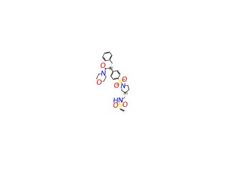 C=CS(=O)(=O)NC[C@H]1CCN(S(=O)(=O)c2ccc([C@@H](Cc3ccccc3)C(=O)N3CCOCC3)cc2)C1